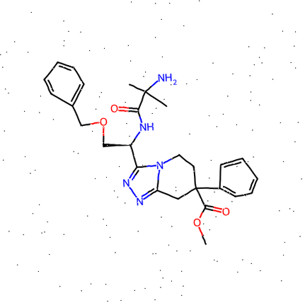 COC(=O)C1(c2ccccc2)CCn2c(nnc2[C@@H](COCc2ccccc2)NC(=O)C(C)(C)N)C1